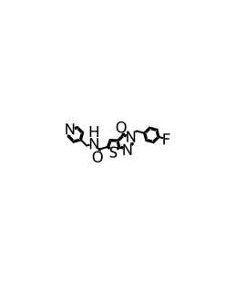 O=C(NCc1ccncc1)c1cc2c(=O)n(Cc3ccc(F)cc3)cnc2s1